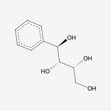 OC[C@@H](O)[C@H](O)[C@H](O)c1ccccc1